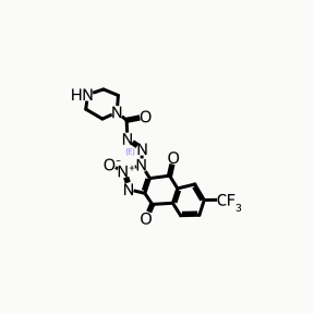 O=C1c2ccc(C(F)(F)F)cc2C(=O)c2c1n[n+]([O-])n2/N=N/C(=O)N1CCNCC1